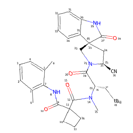 Cc1cccc(C)c1NC(=O)C1(C(=O)N(C)[C@@H](CC(C)(C)C)C(=O)N2C[C@]3(C[C@H]2C#N)C(=O)Nc2ccccc23)CCC1